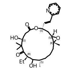 CC[C@H]1C(=O)C(C)(C)[C@@H](O)CC(=O)O[C@H](C=Cc2ccccn2)C[C@@H]2O[C@]2(C)CCC[C@H](C)C1O